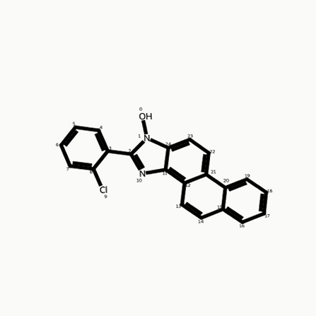 On1c(-c2ccccc2Cl)nc2c3ccc4ccccc4c3ccc21